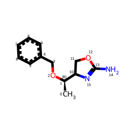 C[C@@H](OCc1ccccc1)C1COC(N)=N1